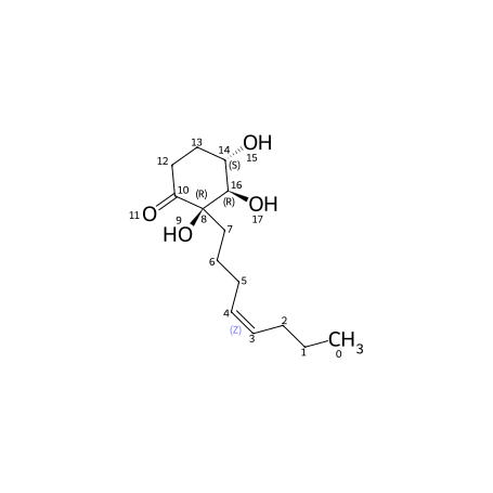 CCC/C=C\CCC[C@]1(O)C(=O)CC[C@H](O)[C@H]1O